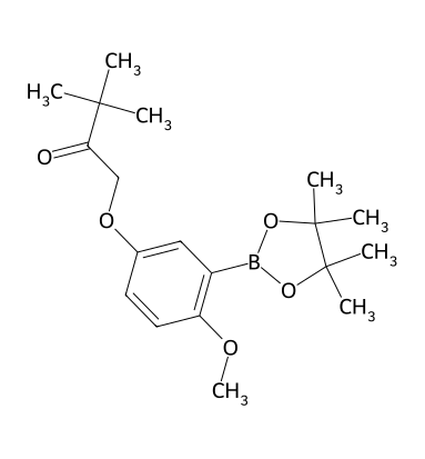 COc1ccc(OCC(=O)C(C)(C)C)cc1B1OC(C)(C)C(C)(C)O1